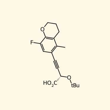 Cc1c(C#C[C@H](OC(C)(C)C)C(=O)O)cc(F)c2c1CCCO2